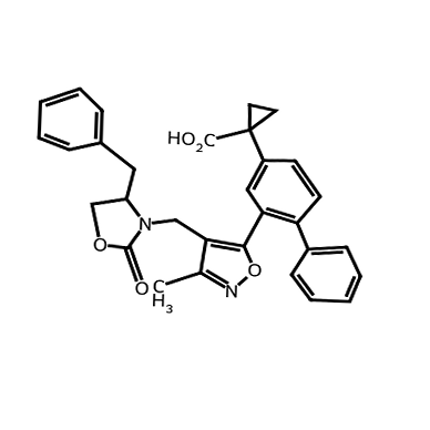 Cc1noc(-c2cc(C3(C(=O)O)CC3)ccc2-c2ccccc2)c1CN1C(=O)OCC1Cc1ccccc1